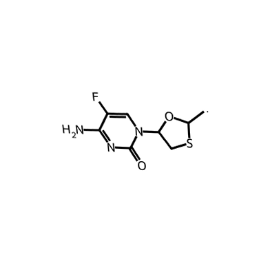 [CH2]C1OC(n2cc(F)c(N)nc2=O)CS1